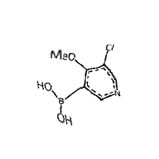 COc1c(Cl)cncc1B(O)O